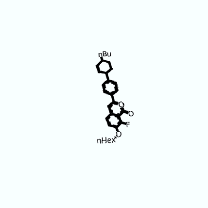 CCCCCCOc1ccc2cc(-c3ccc(C4CCC(CCCC)CC4)cc3)oc(=O)c2c1F